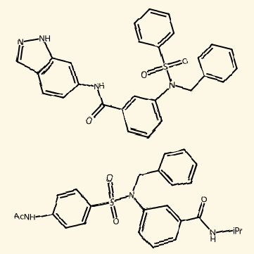 CC(=O)Nc1ccc(S(=O)(=O)N(Cc2ccccc2)c2cccc(C(=O)NC(C)C)c2)cc1.O=C(Nc1ccc2cn[nH]c2c1)c1cccc(N(Cc2ccccc2)S(=O)(=O)c2ccccc2)c1